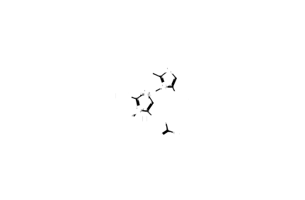 Cc1c[nH]c(C)[n+]1C.Cc1c[nH]c(C)[n+]1C.O=C([O-])[O-]